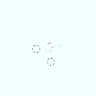 CCCC(=O)C(C)=NN(Cc1ccccc1)Cc1ccccc1